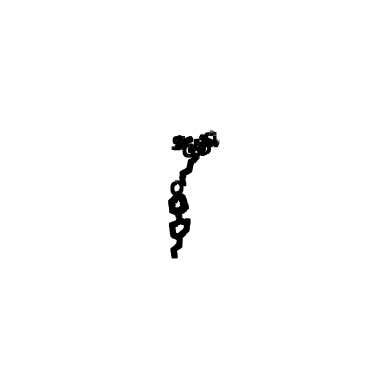 CCCC1CCC(c2ccc(OCCCCC[Si](C)(O[Si](C)(C)C)O[Si](C)(C)C)cc2)CC1